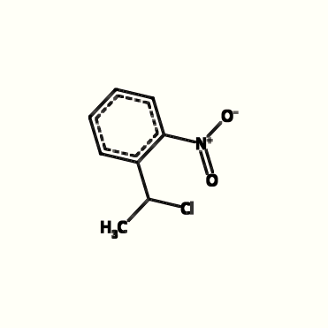 CC(Cl)c1ccccc1[N+](=O)[O-]